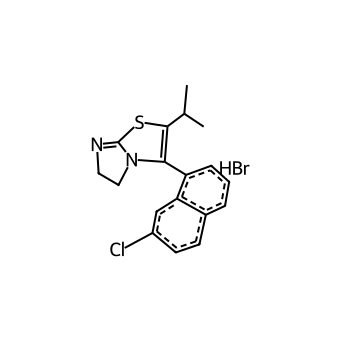 Br.CC(C)C1=C(c2cccc3ccc(Cl)cc23)N2CCN=C2S1